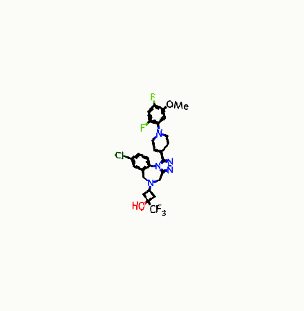 COc1cc(N2CCC(c3nnc4n3-c3ccc(Cl)cc3CN(C3CC(O)(C(F)(F)F)C3)C4)CC2)c(F)cc1F